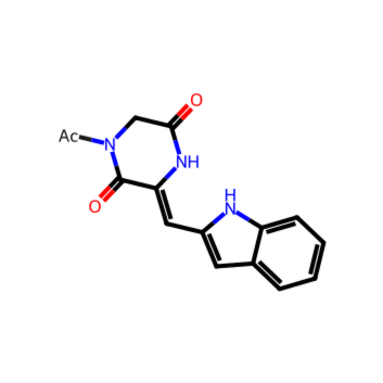 CC(=O)N1CC(=O)NC(=Cc2cc3ccccc3[nH]2)C1=O